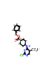 O=C(O)c1cnc(Cl)nc1N[C@H]1CC[C@H](C(=O)OCc2ccccc2)CC1